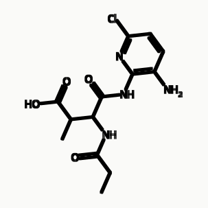 CCC(=O)NC(C(=O)Nc1nc(Cl)ccc1N)C(C)C(=O)O